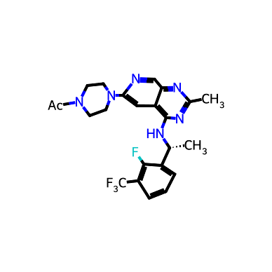 CC(=O)N1CCN(c2cc3c(N[C@H](C)c4cccc(C(F)(F)F)c4F)nc(C)nc3cn2)CC1